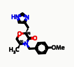 COc1ccc(CN2C(=O)[C@@H](Cc3c[nH]cn3)OC[C@H]2C)cc1